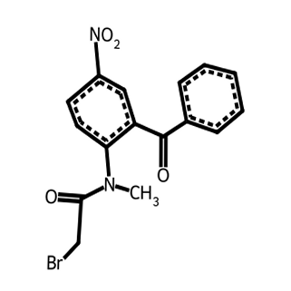 CN(C(=O)CBr)c1ccc([N+](=O)[O-])cc1C(=O)c1ccccc1